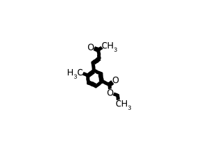 CCOC(=O)c1ccc(C)c(/C=C/C(C)=O)c1